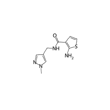 Cn1cc(CNC(=O)c2ccsc2N)cn1